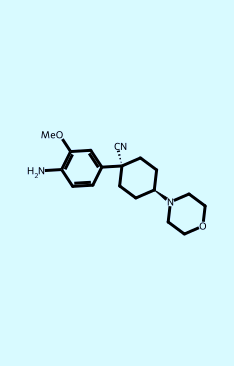 COc1cc([C@]2(C#N)CC[C@H](N3CCOCC3)CC2)ccc1N